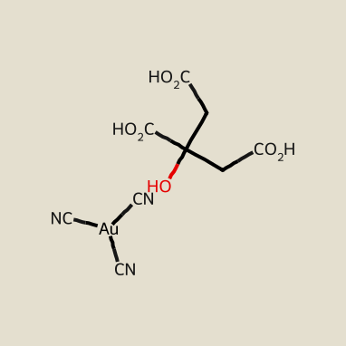 N#[C][Au]([C]#N)[C]#N.O=C(O)CC(O)(CC(=O)O)C(=O)O